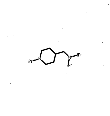 CC(C)N1CCC(CN(C(C)C)C(C)C)CC1